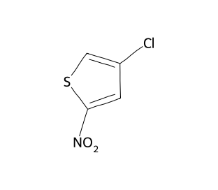 O=[N+]([O-])c1cc(Cl)cs1